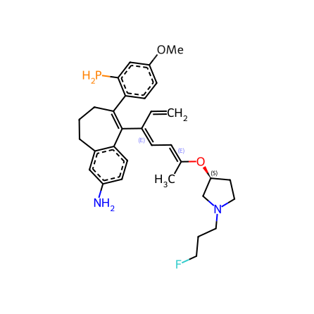 C=C/C(=C\C=C(/C)O[C@H]1CCN(CCCF)C1)C1=C(c2ccc(OC)cc2P)CCCc2cc(N)ccc21